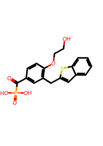 O=C(c1ccc(OCCO)c(Cc2cc3ccccc3s2)c1)P(=O)(O)O